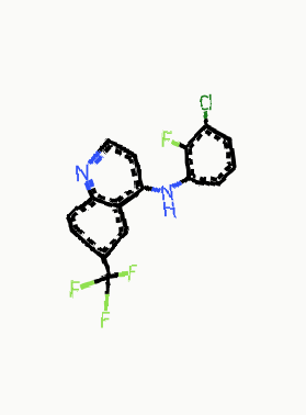 Fc1c(Cl)cccc1Nc1ccnc2ccc(C(F)(F)F)cc12